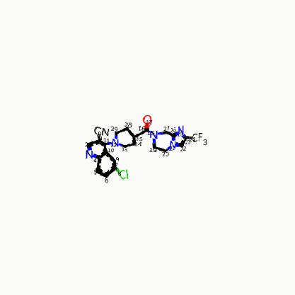 N#Cc1cnc2ccc(Cl)cc2c1N1CCC(C(=O)N2CCn3cc(C(F)(F)F)nc3C2)CC1